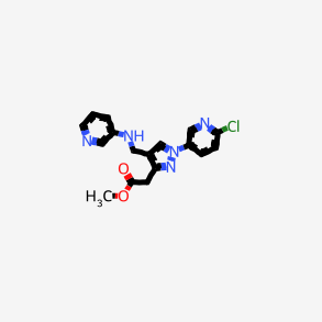 COC(=O)Cc1nn(-c2ccc(Cl)nc2)cc1CNc1cccnc1